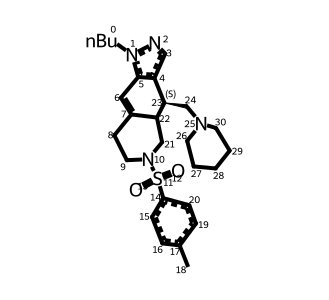 CCCCn1ncc2c1C=C1CCN(S(=O)(=O)c3ccc(C)cc3)CC1[C@@H]2CN1CCCCC1